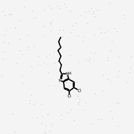 CCCCCCCCc1nc2cc(Cl)c(Cl)cc2[nH]1